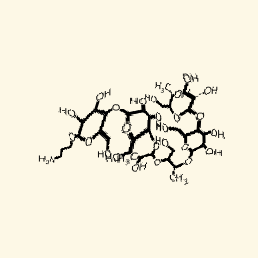 C[C@H](O)C(CO)OC(OC1C(CO)OC(O[C@@H](C)C(CO)OC(OC2C(CO)OC(OC3C(CO)OC(OCCCN)C(O)C3O)C(O)C2O)[C@H](C)O)C(O)C1O)[C@@H](O)CO